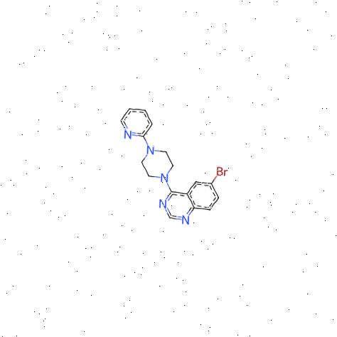 Brc1ccc2ncnc(N3CCN(c4ccccn4)CC3)c2c1